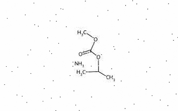 COC(=O)OC(C)C.N